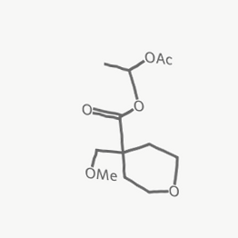 COCC1(C(=O)OC(C)OC(C)=O)CCOCC1